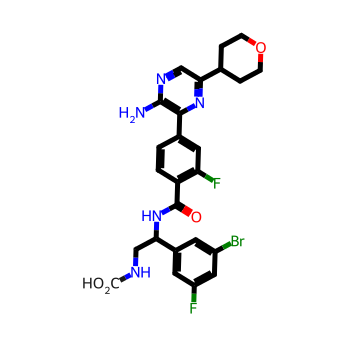 Nc1ncc(C2CCOCC2)nc1-c1ccc(C(=O)NC(CNC(=O)O)c2cc(F)cc(Br)c2)c(F)c1